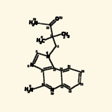 CC(C)(Cn1cnc2c(N)nc3ccccc3c21)C(N)=O